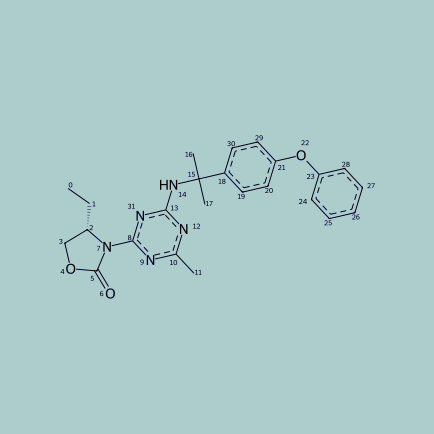 CC[C@H]1COC(=O)N1c1nc(C)nc(NC(C)(C)c2ccc(Oc3ccccc3)cc2)n1